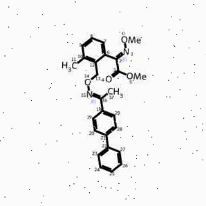 CO/N=C(/C(=O)OC)c1cccc(C)c1CO/N=C(\C)c1ccc(-c2ccccc2)cc1